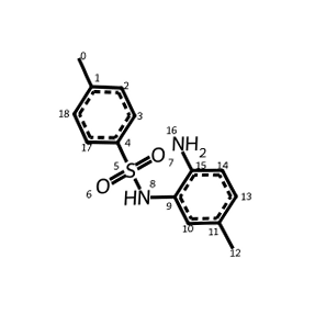 Cc1ccc(S(=O)(=O)Nc2cc(C)ccc2N)cc1